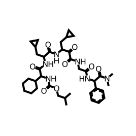 CC(C)COC(=O)NC(C(=O)NC(CC1CC1)C(=O)NC(CC1CC1)C(=O)C(=O)NCC(=O)NC(C(=O)N(C)C)c1ccccc1)C1CCCCC1